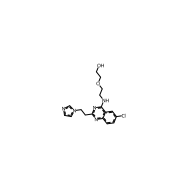 OCCOCCNc1nc(CCn2ccnc2)nc2ccc(Cl)cc12